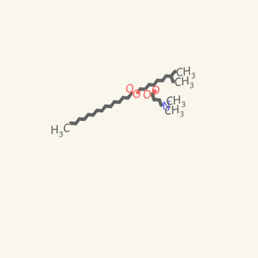 CCCCCCCCCCCCCCCC(=O)OCC(CCCCCC(CC)CC)OC(=O)CCCN(C)C